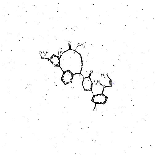 C[C@@H]1CCC[C@H](N2CCC(c3cc(Cl)ccc3N(N)/C=C\N)=CC2=O)c2cc(ccn2)-c2nn(CC(=O)O)cc2NC1=O